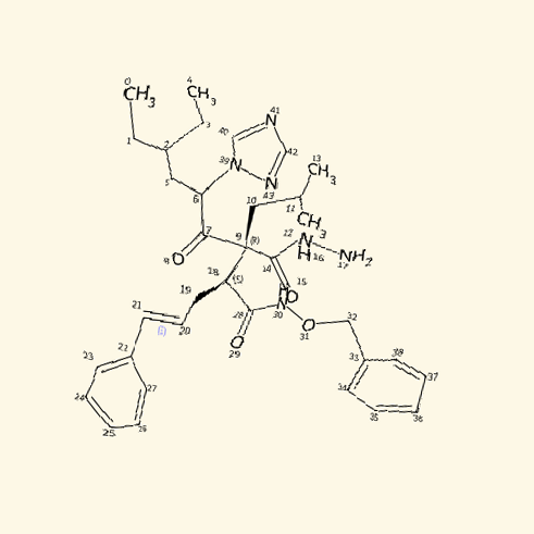 CCC(CC)CC(C(=O)[C@](CC(C)C)(C(=O)NN)[C@H](C/C=C/c1ccccc1)C(=O)NOCc1ccccc1)n1cncn1